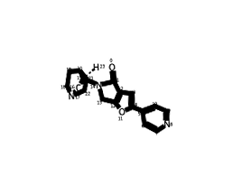 O=C1c2cc(-c3ccncc3)oc2CN1[C@H]1CN2CCC1CC2